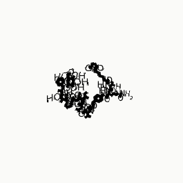 CCC(C)C(C(CC(=O)N1CCCC1C(OC)C(C)C(O)NC(C)C(OC1OC(C(=O)O)C(O)C(O)C1O)c1ccccc1)OC)N(C)C(=O)C(NC(=O)C(C(C)C)N(C)C(=O)OCc1ccc(NC(=O)C(CCCNC(N)=O)NC(=O)C(NC(=O)CCCCCN2C(=O)C=CC2=O)C(C)C)cc1)C(C)C